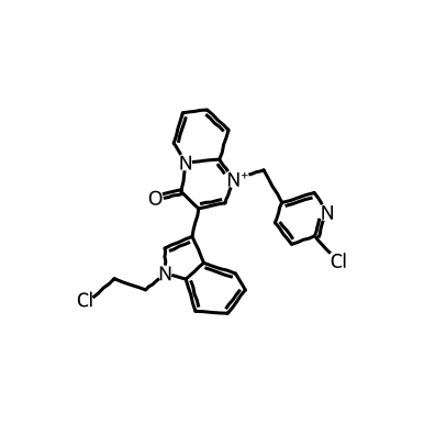 O=c1c(-c2cn(CCCl)c3ccccc23)c[n+](Cc2ccc(Cl)nc2)c2ccccn12